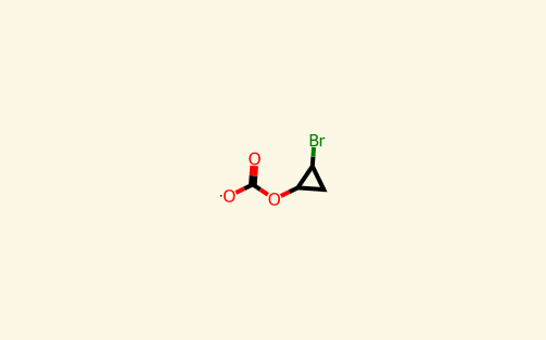 [O]C(=O)OC1CC1Br